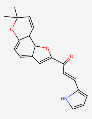 CC1(C)C=CC2C(=CC=C3C=C(C(=O)/C=C/c4ccc[nH]4)OC32)O1